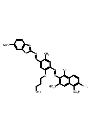 COc1ccc2nc(N=Nc3cc(OCCCS(=O)(=O)O)c(N=Nc4c(S(=O)(=O)O)cc5c(S(=O)(=O)O)c(N)ccc5c4O)cc3C)sc2c1